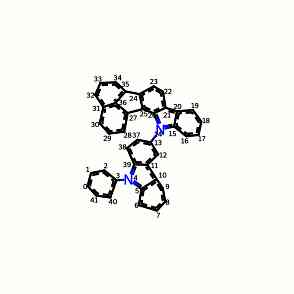 c1ccc(-n2c3ccccc3c3cc(-n4c5ccccc5c5ccc6c(c54)-c4cccc5cccc-6c45)ccc32)cc1